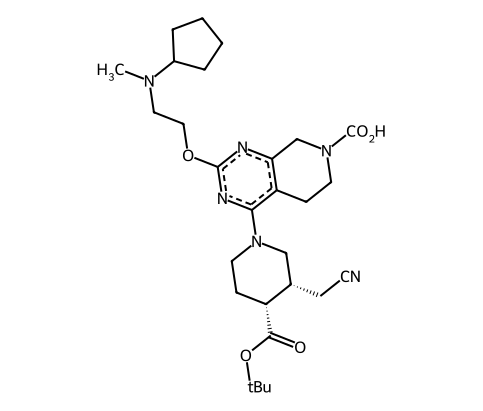 CN(CCOc1nc2c(c(N3CC[C@@H](C(=O)OC(C)(C)C)[C@@H](CC#N)C3)n1)CCN(C(=O)O)C2)C1CCCC1